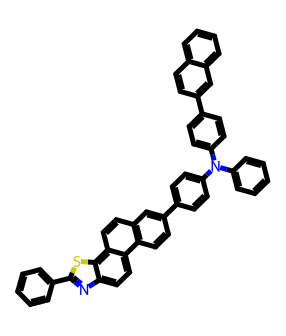 c1ccc(-c2nc3ccc4c5ccc(-c6ccc(N(c7ccccc7)c7ccc(-c8ccc9ccccc9c8)cc7)cc6)cc5ccc4c3s2)cc1